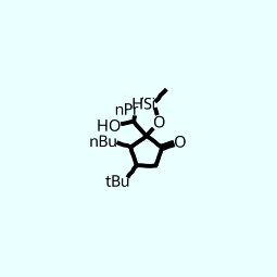 CCCCC1C(C(C)(C)C)CC(=O)C1(O[SiH](C)C)C(O)CCC